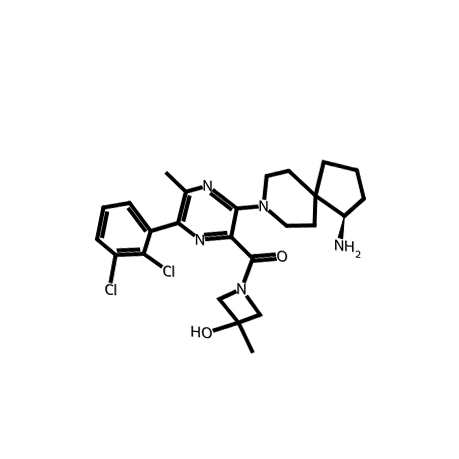 Cc1nc(N2CCC3(CCC[C@H]3N)CC2)c(C(=O)N2CC(C)(O)C2)nc1-c1cccc(Cl)c1Cl